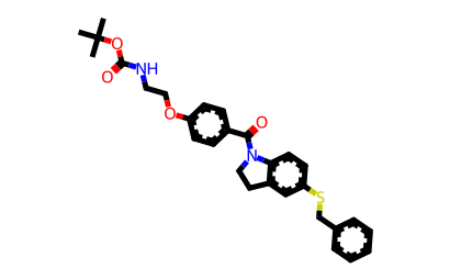 CC(C)(C)OC(=O)NCCOc1ccc(C(=O)N2CCc3cc(SCc4ccccc4)ccc32)cc1